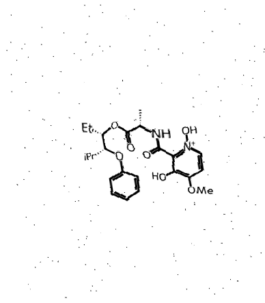 CC[C@H](OC(=O)[C@H](C)NC(=O)c1c(O)c(OC)cc[n+]1O)[C@H](Oc1ccccc1)C(C)C